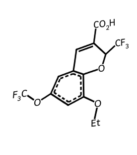 CCOc1cc(OC(F)(F)F)cc2c1OC(C(F)(F)F)C(C(=O)O)=C2